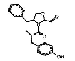 CC(Cc1ccc(O)cc1)C(=O)N1C(Cc2ccccc2)COC1C=O